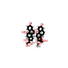 CCC[C@@H]1O[C@@H]2C[C@H]3[C@@H]4CCC5=CC(=O)C=C[C@]5(C)[C@H]4[C@@H](O)C[C@]3(C)[C@]2(C(=O)CO)O1.C[C@H]1C[C@H]2[C@@H]3CCC4=CC(=O)C=C[C@]4(C)[C@@]3(Cl)[C@@H](O)C[C@]2(C)[C@@]1(O)C(=O)CO